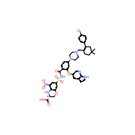 CC1(C)CCC(CN2CCN(c3ccc(C(=O)NS(=O)(=O)c4cc5c(c([N+](=O)[O-])c4)N[C@@H](C(=O)O)CO5)c(Oc4cnc5[nH]ccc5c4)c3)CC2)=C(c2ccc(Cl)cc2)C1